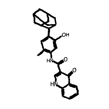 Cc1cc(C2C3CC4CC(C3)CC2C4)c(O)cc1NC(=O)c1c[nH]c2ccccc2c1=O